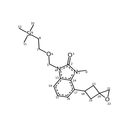 Cn1c(=O)n(COCC[Si](C)(C)C)c2cccc(C3CC4(CO4)C3)c21